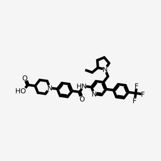 CCC1CCCN1Cc1cc(NC(=O)c2ccc(N3CCC(C(=O)O)CC3)cc2)ncc1-c1ccc(C(F)(F)F)cc1